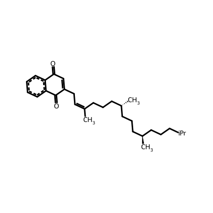 CC(=CCC1=CC(=O)c2ccccc2C1=O)CCC[C@H](C)CCC[C@H](C)CCCC(C)C